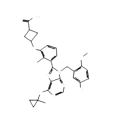 COc1ccc(Cl)cc1Cn1c(-c2cccc(OC3CC(C(=O)O)C3)c2Cl)nc2c(OC3(C)CC3)ncnc21